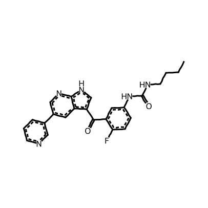 CCCCNC(=O)Nc1ccc(F)c(C(=O)c2c[nH]c3ncc(-c4cccnc4)cc23)c1